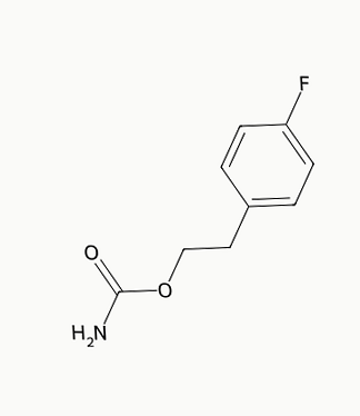 NC(=O)OCCc1ccc(F)cc1